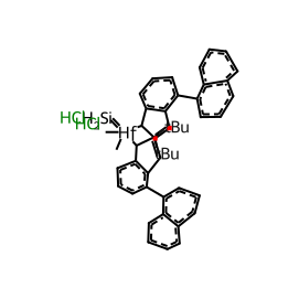 CC(C)(C)C1=Cc2c(-c3cccc4ccccc34)cccc2[CH]1[Hf]([CH3])([CH3])(=[SiH2])[CH]1C(C(C)(C)C)=Cc2c(-c3cccc4ccccc34)cccc21.Cl.Cl